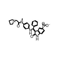 CN(C(=O)CN1CCCC1)c1ccc(N/C(=C2\C(=O)Nc3ccc([N+](=O)[O-])cc32)c2ccccc2)cc1